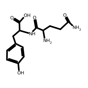 NC(=O)CCC(N)C(=O)NC(Cc1ccc(O)cc1)C(=O)O